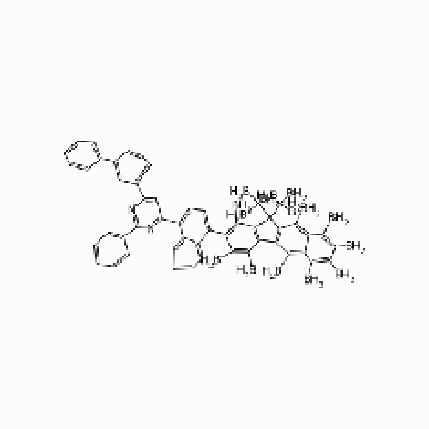 Bc1c(B)c2c(c(B)c1-c1ccc(-c3cc(-c4cccc(-c5ccccc5)c4)nc(-c4ccccc4)n3)c3ccccc13)C(C(B)(B)B)(C(B)(B)B)c1c-2c(B)c2c(B)c(B)c(B)c(B)c2c1B